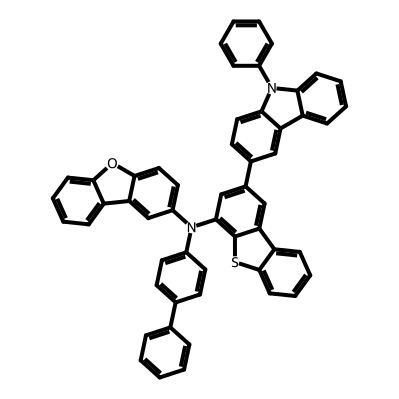 c1ccc(-c2ccc(N(c3ccc4oc5ccccc5c4c3)c3cc(-c4ccc5c(c4)c4ccccc4n5-c4ccccc4)cc4c3sc3ccccc34)cc2)cc1